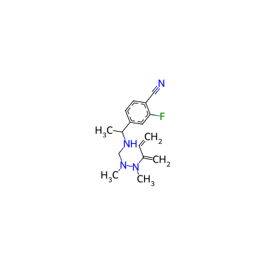 C=CC(=C)N(C)N(C)CNC(C)c1ccc(C#N)c(F)c1